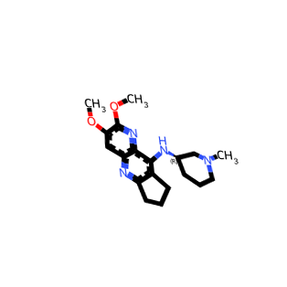 COc1cc2nc3c(c(N[C@@H]4CCCN(C)C4)c2nc1OC)CCC3